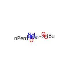 CCCCC[C@@H](N)C(=O)NCCCCCC(=O)OC(C)(C)C